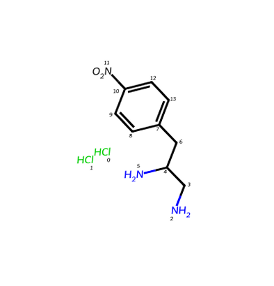 Cl.Cl.NCC(N)Cc1ccc([N+](=O)[O-])cc1